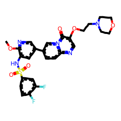 COc1ncc(-c2ccc3ncc(OCCN4CCOCC4)c(=O)n3c2)cc1NS(=O)(=O)c1ccc(F)c(F)c1